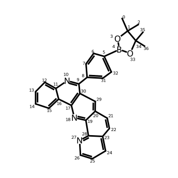 CC1(C)OB(c2ccc(-c3nc4ccccc4c4nc5c(ccc6cccnc65)cc34)cc2)OC1(C)C